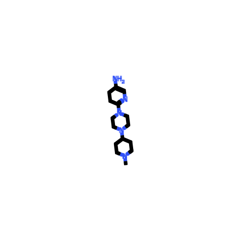 CN1CCC(N2CCN(C3=NC=C(N)CC3)CC2)CC1